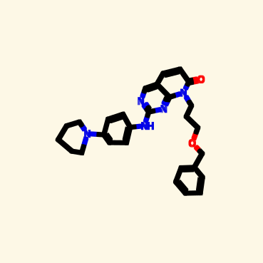 O=c1ccc2cnc(Nc3ccc(N4CCCCC4)cc3)nc2n1CCCOCc1ccccc1